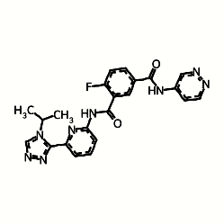 CC(C)n1cnnc1-c1cccc(NC(=O)c2cc(C(=O)Nc3ccnnc3)ccc2F)n1